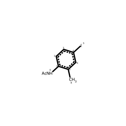 CC(=O)Nc1ccc(I)cc1C